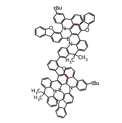 CC(C)(C)c1ccc(N2c3cc4oc5c(-c6ccc7c(c6)C(C)(C)c6cccc8c6N7B6c7ccc9c(oc%10ccccc%109)c7N(c7ccc(C(C)(C)C)cc7-c7ccccc7)c7cc9c(oc%10ccccc%109)c-8c76)cccc5c4c4c3B(c3c2ccc2c3oc3ccccc32)N2c3ccccc3C(C)(C)c3cccc-4c32)c(-c2ccccc2)c1